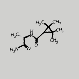 C[C@H](NC(=O)C1C(C)(C)C1(C)C)C(N)=O